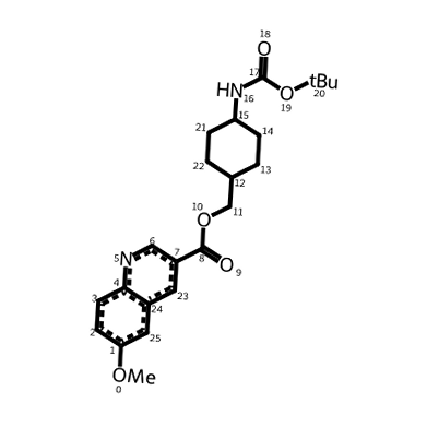 COc1ccc2ncc(C(=O)OCC3CCC(NC(=O)OC(C)(C)C)CC3)cc2c1